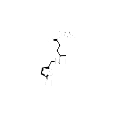 COC(=O)CCC(C)NCc1ccc(Cl)s1